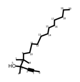 CC#CC(C)(O)C(C)(C)CCCCCCCCCCCC